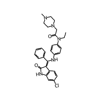 CCN(C(=O)CN1CCN(C)CC1)c1ccc(NC(=C2C(=O)Nc3cc(Cl)ccc32)c2ccccc2)cc1